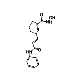 O=C(/C=C/C1C=C(C(=O)NO)CCC1)Nc1ccccc1